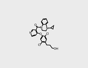 O=C(c1cnccc1Oc1cc(Cl)c(CCCO)cc1Cl)N1CCN(C2CC2)c2ccccc21